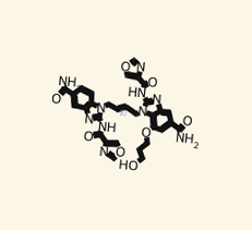 NC(=O)c1ccc2c(c1)nc(NC(=O)c1cocn1)n2C/C=C/Cn1c(NC(=O)c2cocn2)nc2cc(C(N)=O)cc(OCCCO)c21